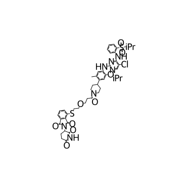 Cc1cc(Nc2ncc(Cl)c(Nc3ccccc3S(=O)(=O)C(C)C)n2)c(OC(C)C)cc1C1CCN(C(=O)CCOCCSc2cccc3c2C(=O)N(C2CCC(=O)NC2=O)C3=O)CC1